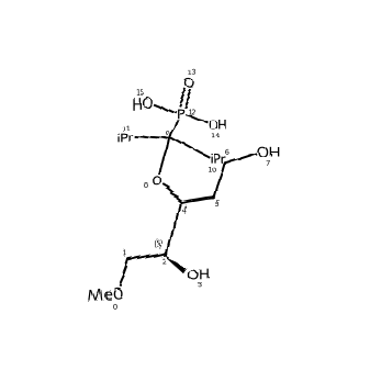 COC[C@H](O)C(CCO)OC(C(C)C)(C(C)C)P(=O)(O)O